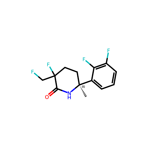 C[C@@]1(c2cccc(F)c2F)CCC(F)(CF)C(=O)N1